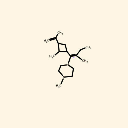 C=C(C)C1CC(/C(=C(/C)CC)N2CCN(C)CC2)C1C